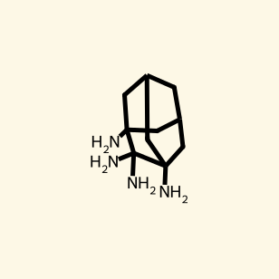 NC12CC3CC(C1)CC(N)(C3)C2(N)N